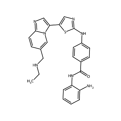 CCNCc1ccc2ncc(-c3cnc(Nc4ccc(C(=O)Nc5ccccc5N)cc4)s3)n2c1